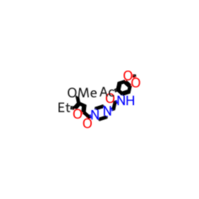 CCc1oc(C(=O)N2CCN(CC(=O)Nc3cc4c(cc3C(C)=O)OCO4)CC2)cc1COC